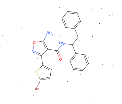 Nc1onc(-c2ccc(Br)s2)c1C(=O)NC(Cc1ccccc1)c1ccccc1